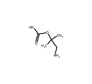 CCCC(=O)OC(C)(C)CN